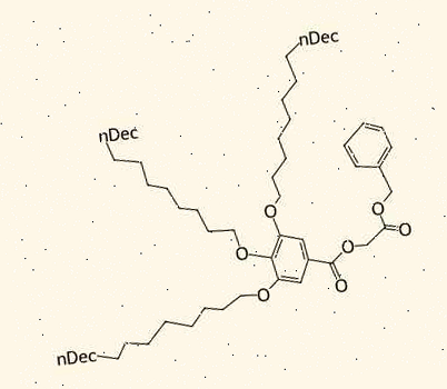 CCCCCCCCCCCCCCCCCCOc1cc(C(=O)OCC(=O)OCc2ccccc2)cc(OCCCCCCCCCCCCCCCCCC)c1OCCCCCCCCCCCCCCCCCC